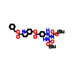 CC(C)(C)OC(=O)/N=C(/NC(=O)OC(C)(C)C)Nc1ccc(C(=O)Oc2ccc3nc(C(=O)OCc4ccccc4)ccc3c2)cc1